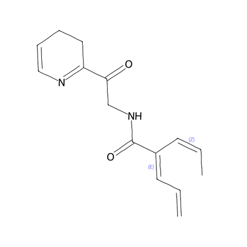 C=C/C=C(\C=C/C)C(=O)NCC(=O)C1=NC=CCC1